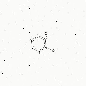 [O].[O]c1ccccc1